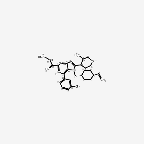 C=C[C@H]1CC[C@H](Cn2c(N3CCOC[C@@H]3C)nc3nc(C(=N)NC(=O)O)nc(-c4cccc(Cl)c4)c32)CC1